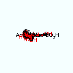 CCCCCCC(CC(O)CCCCCCCCCCCCCCCC(O)C(=O)O)O[C@@H]1OC[C@@H](O)[C@H](O)[C@H]1O[C@@H]1OC[C@@H](OC(C)=O)[C@H](O)[C@H]1O[C@@H]1O[C@H](COC(=O)CC(C)C)[C@@H](OC(C)=O)[C@H](O)[C@H]1O